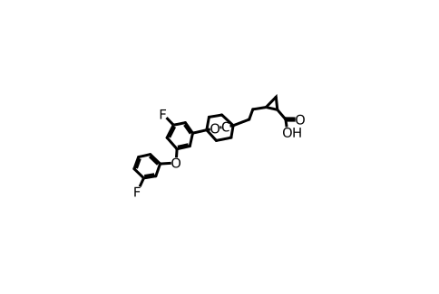 O=C(O)C1CC1CCC12CCC(c3cc(F)cc(Oc4cccc(F)c4)c3)(CC1)OC2